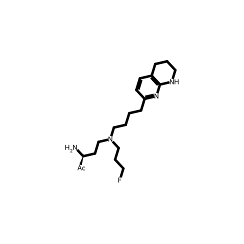 CC(=O)[C@@H](N)CCN(CCCF)CCCCc1ccc2c(n1)NCCC2